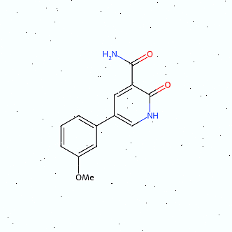 COc1cccc(-c2c[nH]c(=O)c(C(N)=O)c2)c1